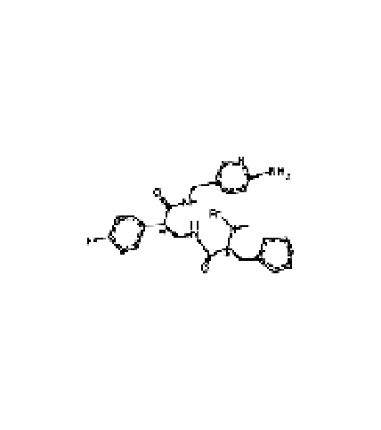 CC(C)N(C)[C@@H](Cc1ccccc1)C(=O)NC[C@H](C(=O)NCc1ccc(N)nc1)c1ccc(F)cc1